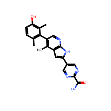 Cc1ccc(O)c(C)c1-c1cnc2[nH]c(-c3cnc(C(N)=O)nc3)cc2c1C#N